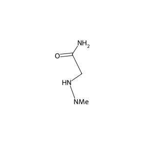 CNNCC(N)=O